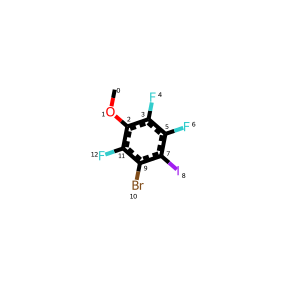 COc1c(F)c(F)c(I)c(Br)c1F